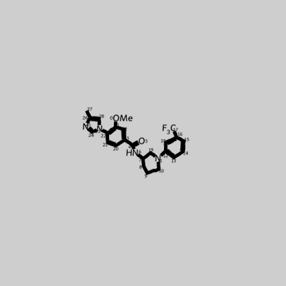 COc1cc(C(=O)NC2CCCN(c3cccc(C(F)(F)F)c3)C2)ccc1-n1cnc(C)c1